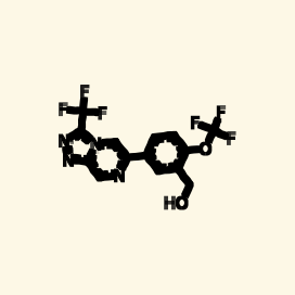 OCc1cc(-c2cn3c(C(F)(F)F)nnc3cn2)ccc1OC(F)(F)F